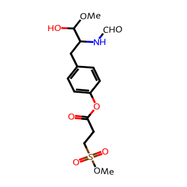 COC(O)C(Cc1ccc(OC(=O)CCS(=O)(=O)OC)cc1)NC=O